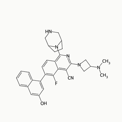 CN(C)C1CN(c2nc(N3C4CCC3CNC4)c3ccc(-c4cc(O)cc5ccccc45)c(F)c3c2C#N)C1